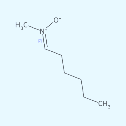 CCCCC/C=[N+](/C)[O-]